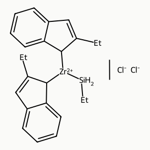 CC.CC[SiH2][Zr+2]([CH]1C(CC)=Cc2ccccc21)[CH]1C(CC)=Cc2ccccc21.[Cl-].[Cl-]